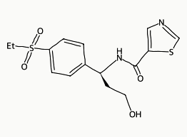 CCS(=O)(=O)c1ccc([C@H](CCO)NC(=O)c2cncs2)cc1